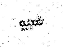 CC(C)O[C@@H](C(=O)Nc1cc2ccn(C)c(=O)c2cc1Cl)c1ccccc1